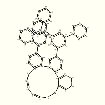 C1=C2SC/C=C\C=C/Cc3ccc(-c4ccc(-c5ccccc5)c5cccnc45)cc3-c3cc(-c4nc(-c5ccccc5)nc(-c5ccccc5)n4)ccc3C2=CCC1